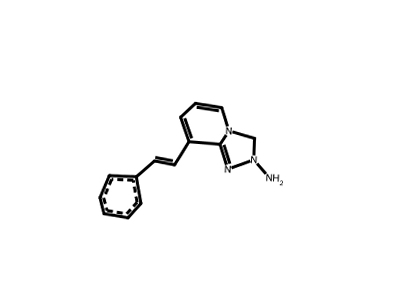 NN1CN2C=CC=C(C=Cc3ccccc3)C2=N1